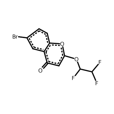 O=c1cc(OC(F)C(F)F)oc2ccc(Br)cc12